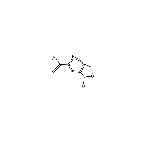 CCC1OCc2cnc(C(N)=O)cc21